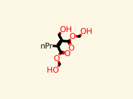 CCC/C(C(=O)OCO)=C(\CO)C(=O)OCO